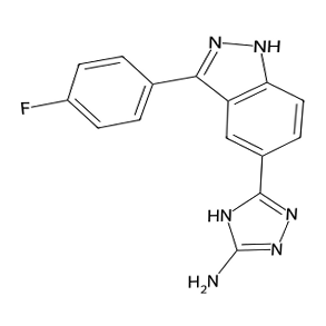 Nc1nnc(-c2ccc3[nH]nc(-c4ccc(F)cc4)c3c2)[nH]1